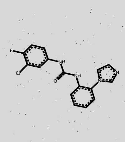 O=C(Nc1ccc(F)c(Cl)c1)Nc1ccccc1-n1ccnc1